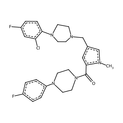 Cn1cc(CN2CCN(c3ccc(F)cc3Cl)CC2)cc1C(=O)N1CCN(c2ccc(F)cc2)CC1